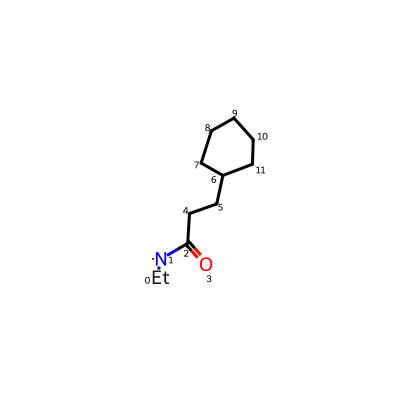 CC[N]C(=O)CCC1CCCCC1